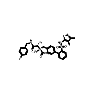 CCCCC(=O)[N+](CCC)(Cc1ccc(-c2ccccc2S(=O)(=O)Nc2onc(C)c2C)cc1)[C@H](C(=O)NCc1ccc(F)cc1)C(C)C